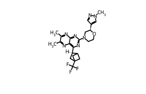 Cc1nc2nc(N3CCO[C@H](c4cnn(C)c4)C3)nc([C@@H]3CC4(C(F)(F)F)CC3C4)c2nc1C